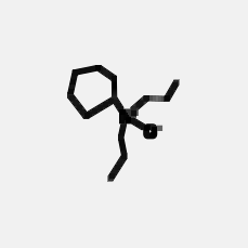 CCC[N+]([O-])(CCC)C1CCCCC1